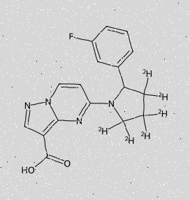 [2H]C1([2H])C(c2cccc(F)c2)N(c2ccn3ncc(C(=O)O)c3n2)C([2H])([2H])C1([2H])[2H]